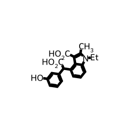 CCn1c(C)c(C(=O)O)c2c(C(C(=O)O)c3cccc(O)c3)cccc21